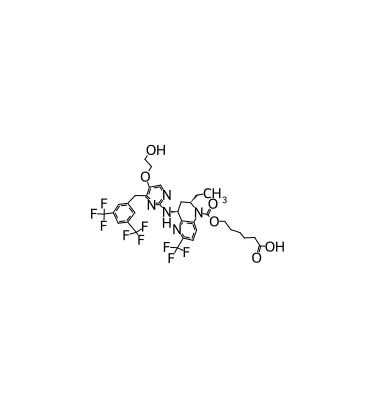 CC[C@@H]1C[C@H](Nc2ncc(OCCO)c(Cc3cc(C(F)(F)F)cc(C(F)(F)F)c3)n2)c2nc(C(F)(F)F)ccc2N1C(=O)OCCCCCC(=O)O